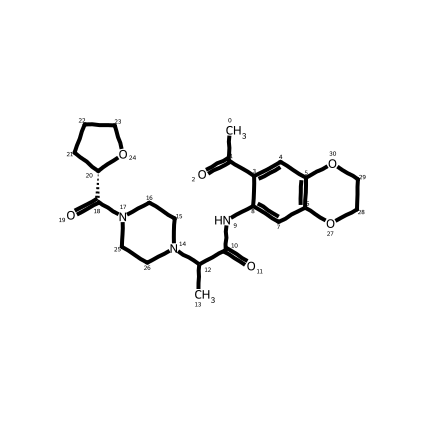 CC(=O)c1cc2c(cc1NC(=O)C(C)N1CCN(C(=O)[C@@H]3CCCO3)CC1)OCCO2